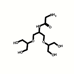 NCC(=O)NC(COC(CO)CO)COC(CO)CO